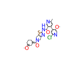 COc1cnc(Cl)cc1-c1cc(C)ncc1C(=O)Nc1nc2c(s1)CN(C(=O)[C@@H]1CCC[C@@H](OC)C1)C2